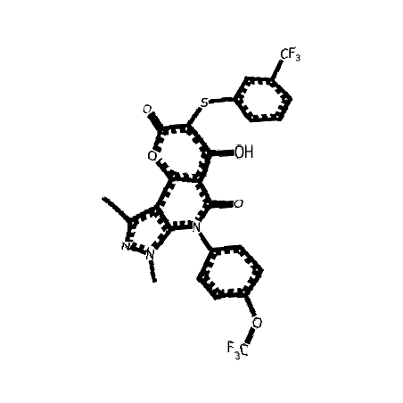 Cc1nn(C)c2c1c1oc(=O)c(Sc3cccc(C(F)(F)F)c3)c(O)c1c(=O)n2-c1ccc(OC(F)(F)F)cc1